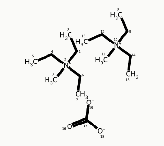 CC[N+](C)(CC)CC.CC[N+](C)(CC)CC.O=C([O-])[O-]